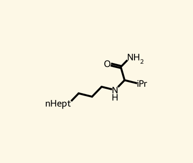 CCCCCCCCCCNC(C(N)=O)C(C)C